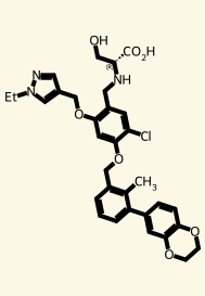 CCn1cc(COc2cc(OCc3cccc(-c4ccc5c(c4)OCCO5)c3C)c(Cl)cc2CN[C@H](CO)C(=O)O)cn1